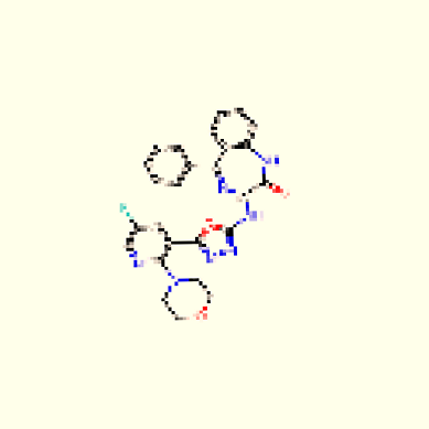 O=C1Nc2ccccc2C(c2ccccc2)=N[C@@H]1Nc1nnc(-c2cc(F)cnc2N2CCOCC2)o1